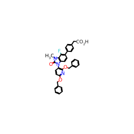 Cn1c(=O)n(-c2ccc(OCc3ccccc3)nc2OCc2ccccc2)c2ccc(-c3ccc(CC(=O)O)cc3)c(F)c21